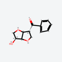 O=C(c1ccccc1)[C@@H]1COC2C1OC[C@@H]2O